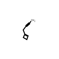 [CH2]C#CCC1=CCC1